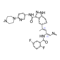 C=N/C=C(\C=C(/C)c1ccc2[nH]nc(C(=O)Nc3ccc(N4CCN(C)CC4)nc3)c2c1)NC(=O)c1cc(F)ccc1F